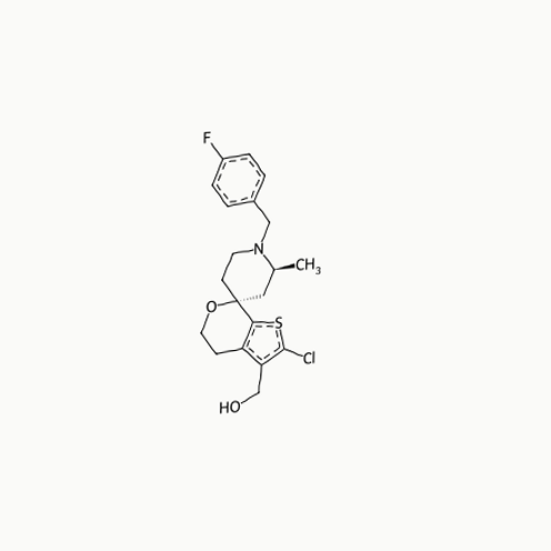 C[C@H]1C[C@@]2(CCN1Cc1ccc(F)cc1)OCCc1c2sc(Cl)c1CO